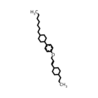 CCCCCCCC1CCC(c2ccc(OC/C=C/C3CCC(CCC)CC3)cc2)CC1